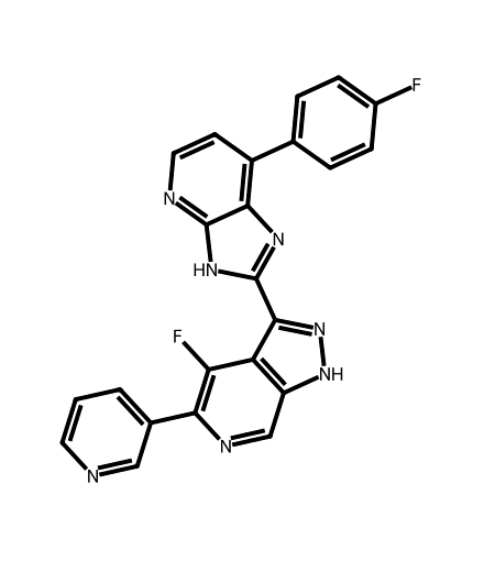 Fc1ccc(-c2ccnc3[nH]c(-c4n[nH]c5cnc(-c6cccnc6)c(F)c45)nc23)cc1